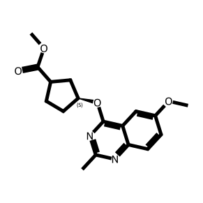 COC(=O)C1CC[C@H](Oc2nc(C)nc3ccc(OC)cc23)C1